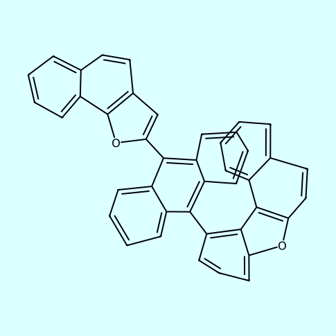 c1ccc2c(c1)ccc1cc(-c3c4ccccc4c(-c4cccc5oc6ccc7ccccc7c6c45)c4ccccc34)oc12